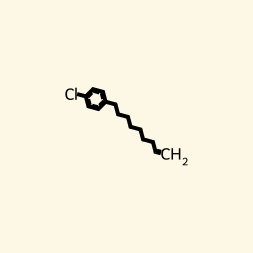 C=CCCCCCCCc1ccc(Cl)cc1